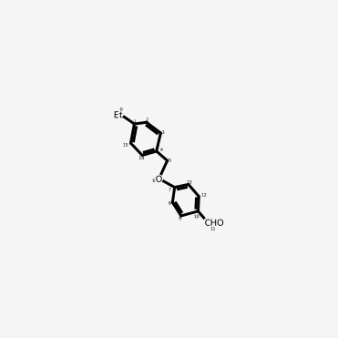 CCc1ccc(COc2ccc(C=O)cc2)cc1